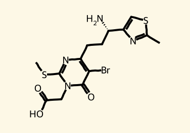 CSc1nc(CC[C@H](N)c2csc(C)n2)c(Br)c(=O)n1CC(=O)O